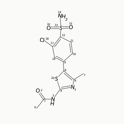 CC(=O)Nc1nc(C)c(-c2ccc(S(N)(=O)=O)c(Cl)c2)s1